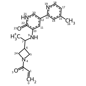 C=CC(=O)N1CC(C(C)Nc2cc(-c3cc(C)ccn3)c[nH]c2=O)C1